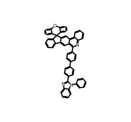 c1ccc(-n2c(-c3ccc(-c4ccc(-c5nc6ccccc6c6cc7c(cc56)-c5ccccc5C75c6ccccc6Oc6ccccc65)cc4)cc3)nc3ccccc32)cc1